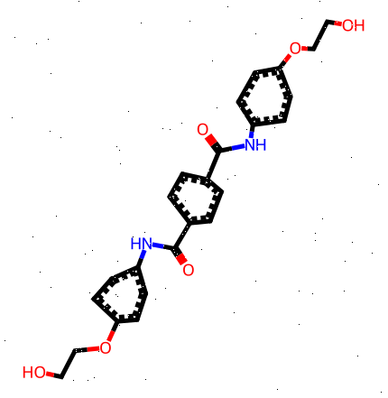 O=C(Nc1ccc(OCCO)cc1)c1ccc(C(=O)Nc2ccc(OCCO)cc2)cc1